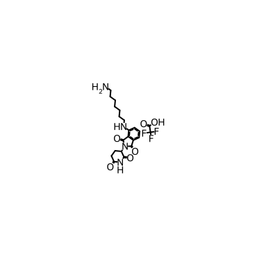 NCCCCCCCNc1cccc2c1C(=O)N(C1CCC(=O)NC1=O)C2=O.O=C(O)C(F)(F)F